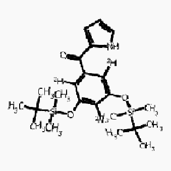 [2H]c1c(O[Si](C)(C)C(C)(C)C)c([2H])c(C(=O)c2ccc[nH]2)c([2H])c1O[Si](C)(C)C(C)(C)C